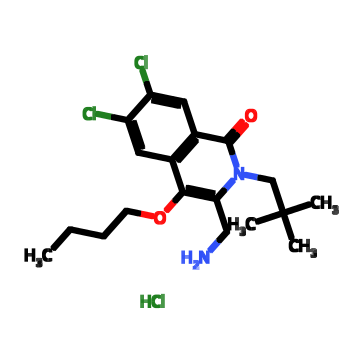 CCCCOc1c(CN)n(CC(C)(C)C)c(=O)c2cc(Cl)c(Cl)cc12.Cl